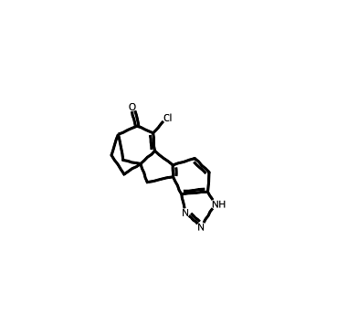 O=C1C(Cl)=C2c3ccc4[nH]nnc4c3CC23CCC1C3